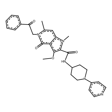 COc1c(C(=O)NC2CCN(c3ccncc3)CC2)n(C)c2cc(C)n(CC(=O)c3ccccc3)c(=O)c12